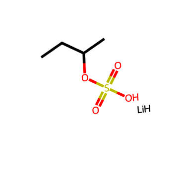 CCC(C)OS(=O)(=O)O.[LiH]